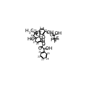 CN1CC[C@]23c4c5ccc(O)c4O[C@H]2C(OC(=O)[C@H](O)c2ccccc2)=CC[C@]3(O)C1C5.O=C(O)C(F)(F)F